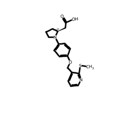 CSc1ncccc1COc1ccc(N2CCC[C@H]2CC(=O)O)cc1